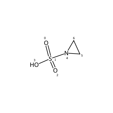 O=S(=O)(O)N1CC1